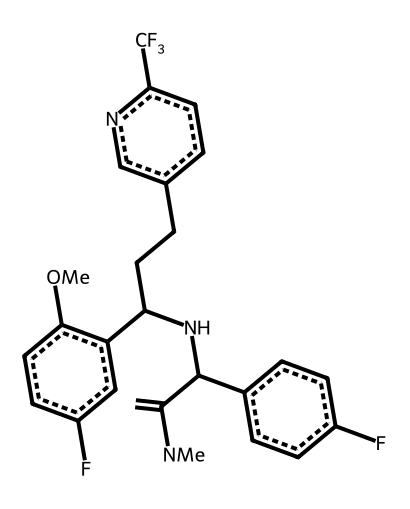 C=C(NC)C(NC(CCc1ccc(C(F)(F)F)nc1)c1cc(F)ccc1OC)c1ccc(F)cc1